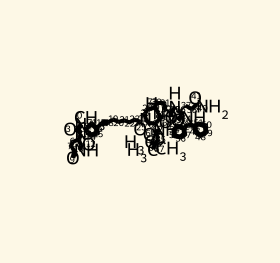 Cn1c(=O)n(C2CCC(=O)NC2=O)c2ccc(C#CCCCCCC(=O)N3CC[C@H]4CC[C@@H](C(=O)N[C@@H](CCC(N)=O)C(=O)NC(c5ccccc5)c5ccccc5)N4C(=O)[C@@H](NC(=O)OC(C)(C)C)C3)cc21